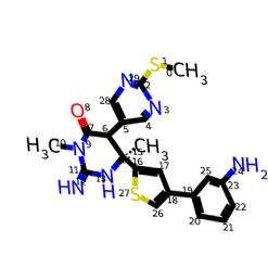 CSc1ncc(C2C(=O)N(C)C(=N)N[C@]2(C)c2cc(-c3cccc(N)c3)cs2)cn1